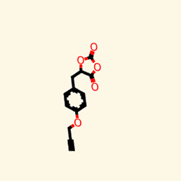 C#CCOc1ccc(CC2OC(=O)OC2=O)cc1